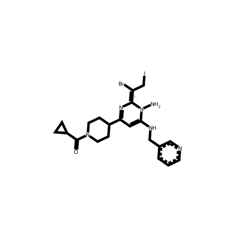 NN1C(NCc2cccnc2)=CC(C2CCN(C(=O)C3CC3)CC2)=N/C1=C(\Br)CI